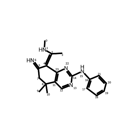 CN/C(C)=C1\C(=N)CC(C)(C)c2cnc(Nc3ccccc3)nc21